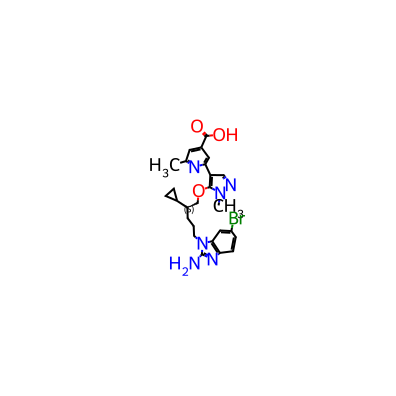 Cc1cc(C(=O)O)cc(-c2cnn(C)c2OC[C@@H](CCCn2c(N)nc3ccc(Br)cc32)C2CC2)n1